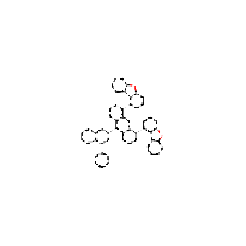 c1ccc(-c2cc(-c3c4cccc(-c5cccc6oc7ccccc7c56)c4cc4c(-c5cccc6oc7ccccc7c56)cccc34)cc3ccccc23)cc1